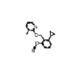 Cc1cccnc1OCc1c(OC#N)cccc1C1CC1